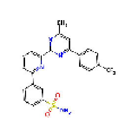 Cc1cc(-c2ccc(C(F)(F)F)cc2)nc(-c2cccc(-c3cccc(S(N)(=O)=O)c3)n2)n1